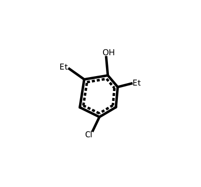 CCc1cc(Cl)cc(CC)c1O